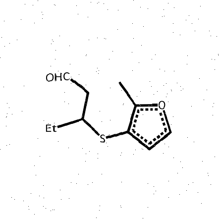 CCC(CC=O)Sc1ccoc1C